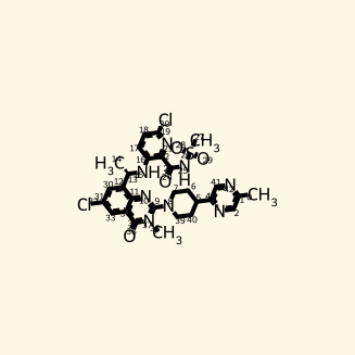 Cc1cnc(C2CCN(c3nc4c([C@@H](C)Nc5ccc(Cl)nc5C(=O)NS(C)(=O)=O)cc(Cl)cc4c(=O)n3C)CC2)cn1